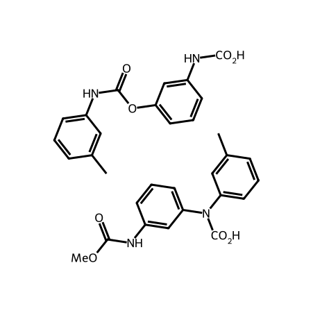 COC(=O)Nc1cccc(N(C(=O)O)c2cccc(C)c2)c1.Cc1cccc(NC(=O)Oc2cccc(NC(=O)O)c2)c1